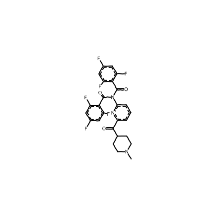 CN1CCC(C(=O)c2cccc(N(C(=O)c3c(F)cc(F)cc3F)C(=O)c3c(F)cc(F)cc3F)n2)CC1